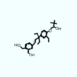 CCc1cc(C(/C=C/c2ccc(CO)c(CO)c2)(CC)CC)ccc1OCC(O)C(C)(C)C